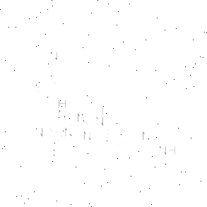 CN(C)C(=O)[C@H](Cc1ccc(C#N)cc1)Nc1ncnc(Nc2cccc(CN3CCNCC3)c2)n1